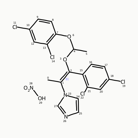 C/C(=C(\OC(C)Oc1ccc(Cl)cc1Cl)c1ccc(Cl)cc1Cl)n1ccnc1.O=[N+]([O-])O